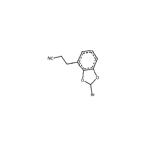 N#CCCc1cccc2c1OC(Br)O2